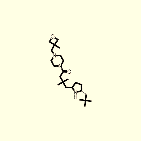 CC(C)(C)C[C@H]1CCC(CC(C)(C)CC(=O)N2CCN(CC3(C)COC3)CC2)N1